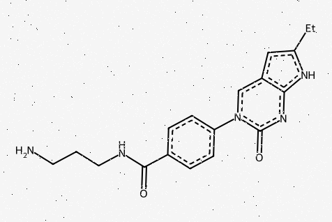 CCc1cc2cn(-c3ccc(C(=O)NCCCN)cc3)c(=O)nc2[nH]1